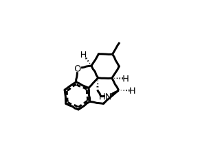 CC1C[C@@H]2Oc3cccc4c3[C@@]23CCN[C@H](C4)[C@@H]3C1